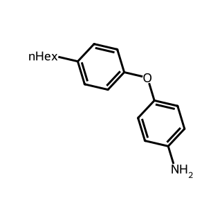 CCCCCCc1ccc(Oc2ccc(N)cc2)cc1